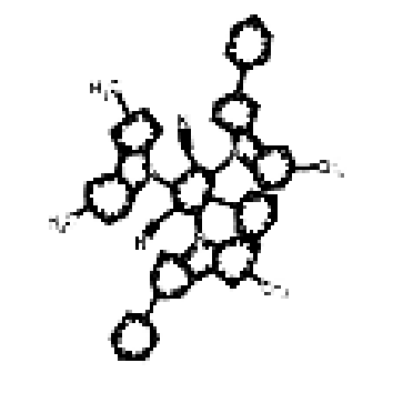 Cc1ccc2c(c1)c1cc(C)ccc1n2-c1c(C#N)c(-n2c3ccc(C)cc3c3cc(-c4ccccc4)ccc32)c(-c2ccccc2)c(-n2c3ccc(C)cc3c3cc(-c4ccccc4)ccc32)c1C#N